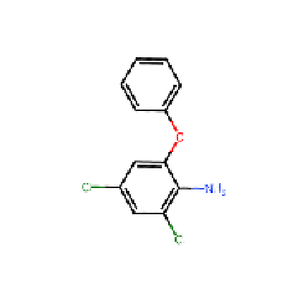 Nc1c(Cl)cc(Cl)cc1Oc1ccccc1